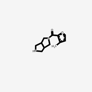 Cc1ccoc1C(=O)N1CC2CNCC2C1